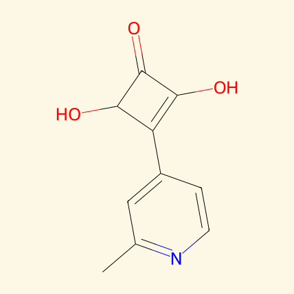 Cc1cc(C2=C(O)C(=O)C2O)ccn1